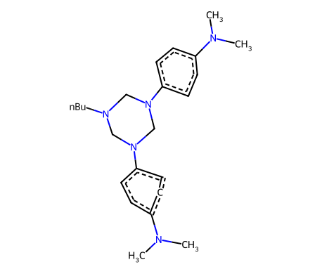 CCCCN1CN(c2ccc(N(C)C)cc2)CN(c2ccc(N(C)C)cc2)C1